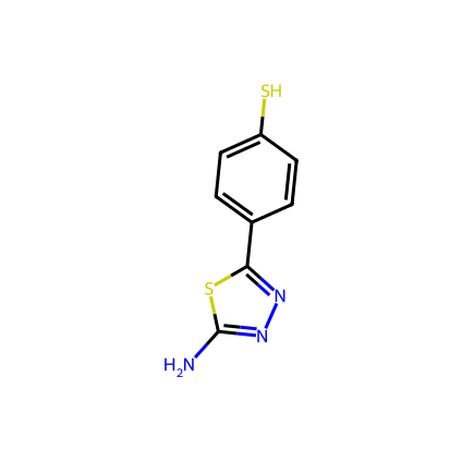 Nc1nnc(-c2ccc(S)cc2)s1